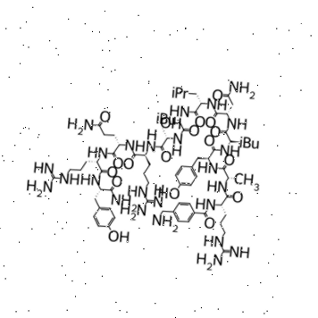 CC[C@H](C)[C@H](NC(=O)[C@H](Cc1ccc(O)cc1)NC(=O)[C@H](C)NC(=O)[C@H](CCCNC(=N)N)NC(=O)c1ccc(CN)cc1)C(=O)N[C@@H](CC(N)=O)C(=O)N[C@@H](CC(C)C)C(=O)N[C@H](C(=O)N[C@@H](CO)C(=O)N[C@@H](CCCNC(=N)N)C(=O)N[C@@H](CCC(N)=O)C(=O)N[C@@H](CCCNC(=N)N)C(=O)N[C@@H](Cc1ccc(O)cc1)C(N)=O)[C@@H](C)CC